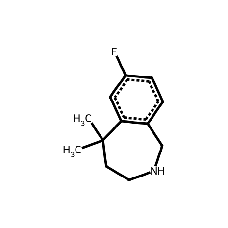 CC1(C)CCNCc2ccc(F)cc21